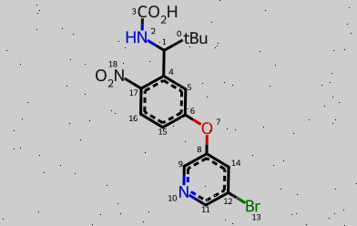 CC(C)(C)C(NC(=O)O)c1cc(Oc2cncc(Br)c2)ccc1[N+](=O)[O-]